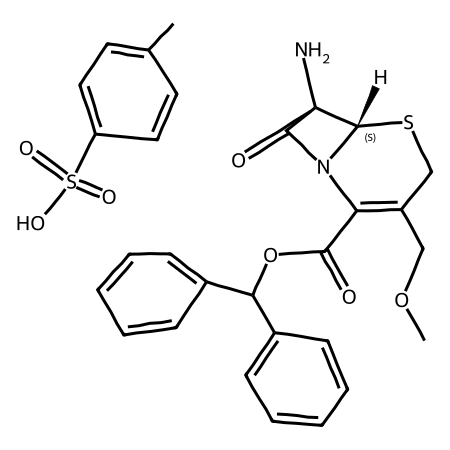 COCC1=C(C(=O)OC(c2ccccc2)c2ccccc2)N2C(=O)C(N)[C@@H]2SC1.Cc1ccc(S(=O)(=O)O)cc1